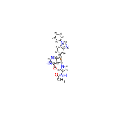 CC(=O)N[C@H]1CCN(c2sc(-c3ccc4c(c3)ncn4C3CCCCC3)c3nc[nH]c(=O)c23)C1